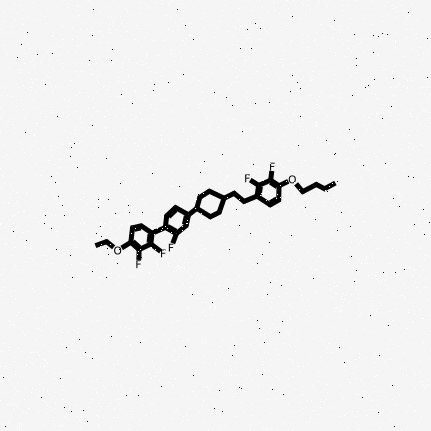 CCCCOc1ccc(CCC2CCC(c3ccc(-c4ccc(OCC)c(F)c4F)c(F)c3)CC2)c(F)c1F